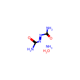 N.NC(=O)N=NC(N)=O.O